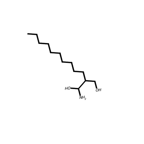 CCCCCCCCCCC(CO)C(N)O